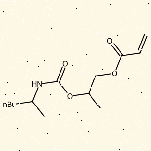 C=CC(=O)OCC(C)OC(=O)NC(C)CCCC